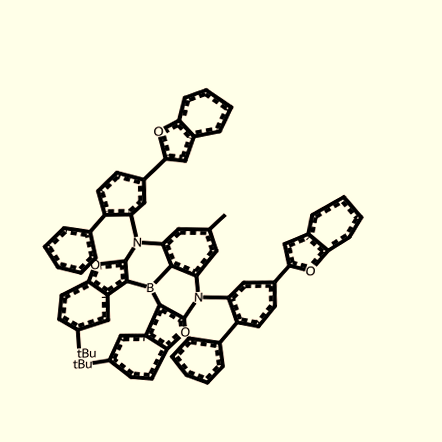 Cc1cc2c3c(c1)N(c1cc(-c4cc5ccccc5o4)ccc1-c1ccccc1)c1oc4ccc(C(C)(C)C)cc4c1B3c1c(oc3ccc(C(C)(C)C)cc13)N2c1cc(-c2cc3ccccc3o2)ccc1-c1ccccc1